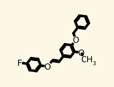 COc1cc(C=COc2ccc(F)cc2)ccc1OCc1ccccc1